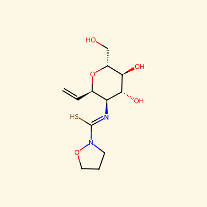 C=C[C@H]1O[C@H](CO)[C@@H](O)[C@H](O)[C@H]1/N=C(\S)N1CCCO1